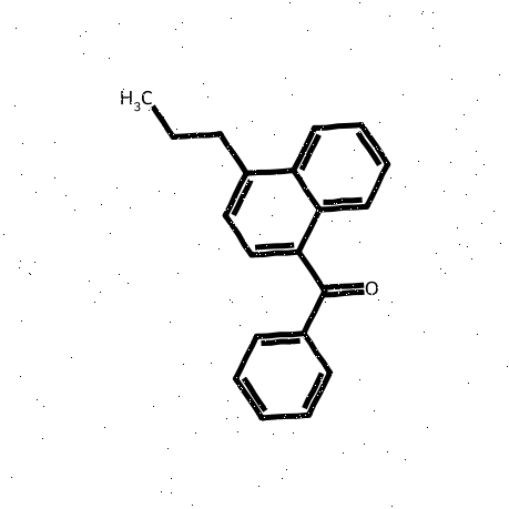 CCCc1ccc(C(=O)c2ccccc2)c2ccccc12